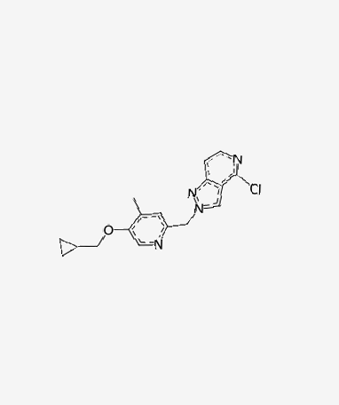 Cc1cc(Cn2cc3c(Cl)nccc3n2)ncc1OCC1CC1